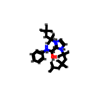 CC(C)CC(C)(C)CC(C)(C)n1cc[n+](C(C)(C)CC(C)(C)C)c1C(O)Nc1ccccc1